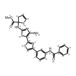 COC(=O)C1(Nc2nc(N)c(-c3nc(-c4cccc(NC(=O)c5ccccc5)c4)cs3)s2)CC=CS1